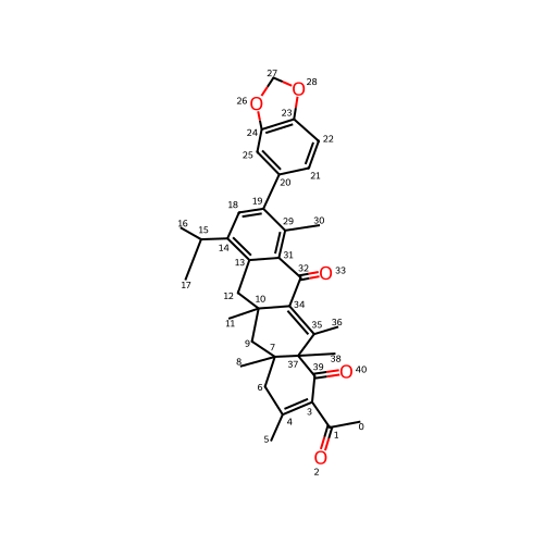 CC(=O)C1=C(C)CC2(C)CC3(C)Cc4c(C(C)C)cc(-c5ccc6c(c5)OCO6)c(C)c4C(=O)C3=C(C)C2(C)C1=O